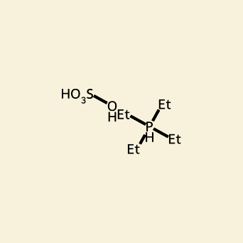 CC[PH](CC)(CC)CC.O=S(=O)(O)O